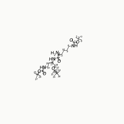 CC(C)(C)OC(=O)NCCCC[C@H](N)C(=O)N[C@H](CCNC(=O)OC(C)(C)C)CO[Si](C)(C)C(C)(C)C